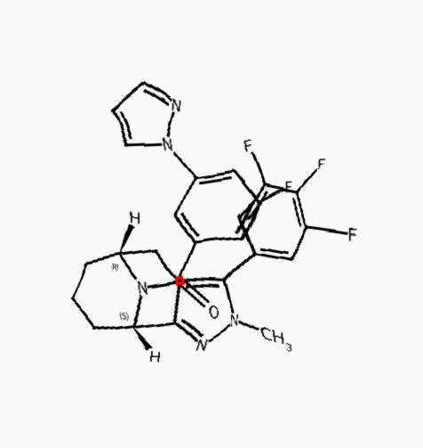 Cn1nc2c(c1-c1cc(F)c(F)c(F)c1)C[C@H]1CCC[C@@H]2N1C(=O)c1cc(F)cc(-n2cccn2)c1